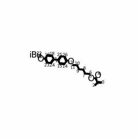 C=C(C)C(=O)OCCCCCCOc1ccc(-c2ccc(OC(C)CC)cc2)cc1